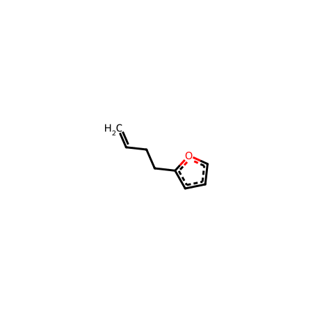 C=CCCc1ccco1